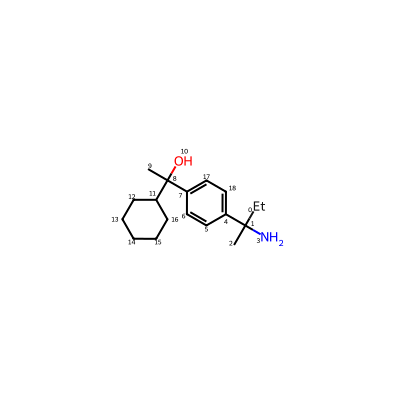 CCC(C)(N)c1ccc(C(C)(O)C2CCCCC2)cc1